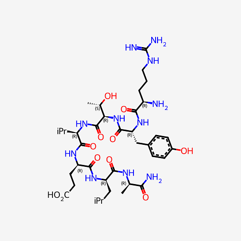 CC(C)C[C@@H](NC(=O)[C@@H](CCC(=O)O)NC(=O)[C@H](NC(=O)[C@H](NC(=O)[C@@H](Cc1ccc(O)cc1)NC(=O)[C@H](N)CCCNC(=N)N)[C@H](C)O)C(C)C)C(=O)N[C@H](C)C(N)=O